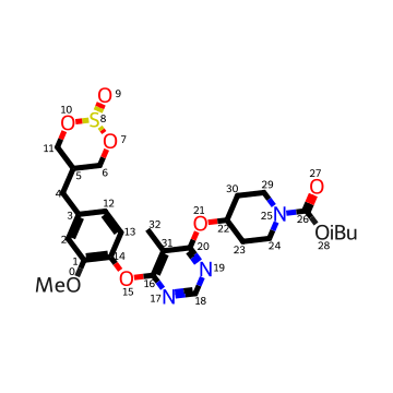 COc1cc(CC2COS(=O)OC2)ccc1Oc1ncnc(OC2CCN(C(=O)OCC(C)C)CC2)c1C